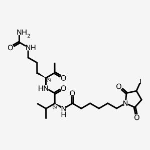 CC(=O)[C@H](CCCNC(N)=O)NC(=O)[C@@H](NC(=O)CCCCCN1C(=O)CC(I)C1=O)C(C)C